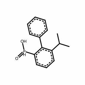 CC(C)c1cccc([PH](=O)O)c1-c1ccccc1